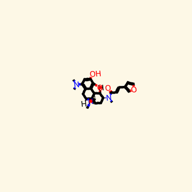 CN(C)c1cc(O)c2c3c1C[C@@H]1[C@@H]4CC[C@@H](N(C)C(=O)/C=C/c5ccoc5)[C@H](O2)[C@]34CCN1C